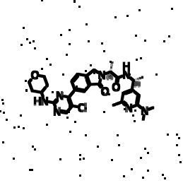 Cc1cc([C@@H](C)NC(=O)[C@@H](C)N2Cc3ccc(-c4nc(NC5CCOCC5)ncc4Cl)cc3C2=O)cc(N(C)C)n1